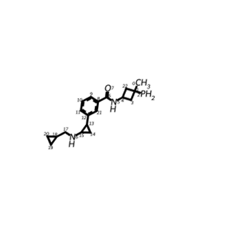 CC1(P)CC(NC(=O)c2cccc(C3CC3NCC3CC3)c2)C1